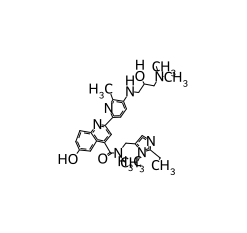 CCc1ncc(CN(C)C(=O)c2cc(-c3ccc(NCC(O)CN(C)C)c(C)n3)nc3ccc(O)cc23)n1C